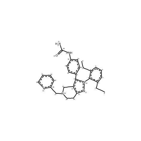 CCc1cccc(CC)c1-n1nc2c(c1-c1ccc(NC(N)=O)cc1)CN(Cc1ccccn1)CC2